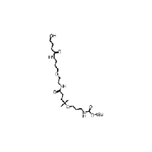 CC(C)(C)OC(=O)NCCCOC(C)(C)CCC(=O)NCCOCCCNC(=O)CCCO